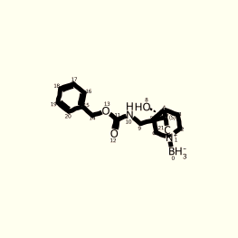 [BH3-][N+]12CCC(CC1)[C@](O)(CNC(=O)OCc1ccccc1)C2